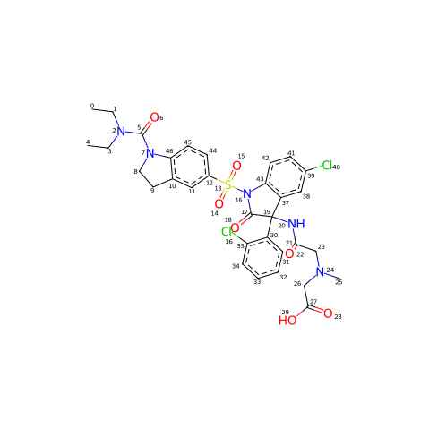 CCN(CC)C(=O)N1CCc2cc(S(=O)(=O)N3C(=O)C(NC(=O)CN(C)CC(=O)O)(c4ccccc4Cl)c4cc(Cl)ccc43)ccc21